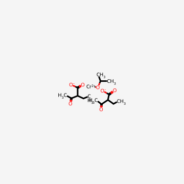 CC(C)[O][Cr+2].CCC(C(C)=O)C(=O)[O-].CCC(C(C)=O)C(=O)[O-]